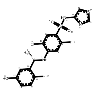 N[C@H](Nc1cc(F)c(S(=O)(=O)Nc2cscn2)cc1Cl)c1cc(O)ccc1F